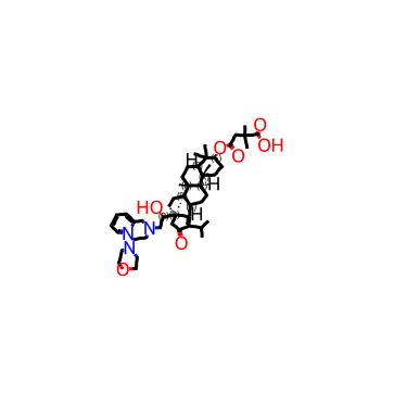 CC(C)C1=C2[C@H]3CC[C@@H]4[C@@]5(C)CC[C@H](OC(=O)CC(C)(C)C(=O)O)C(C)(C)[C@H]5CC[C@@]4(C)[C@]3(C)CC[C@@]2([C@@H](O)CN(CCN2CCOCC2)Cc2ccccn2)CC1=O